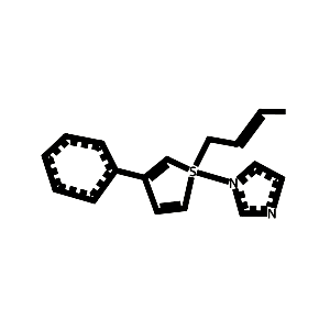 CC=CCS1(n2ccnc2)C=CC(c2ccccc2)=C1